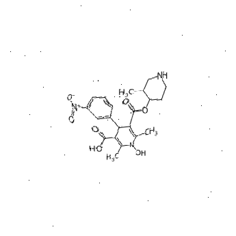 CC1=C(C(=O)O)C(c2cccc([N+](=O)[O-])c2)C(C(=O)OC2CCNCC2C)=C(C)N1O